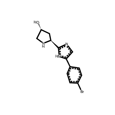 O[C@H]1CN[C@H](c2ncc(-c3ccc(Br)cc3)[nH]2)C1